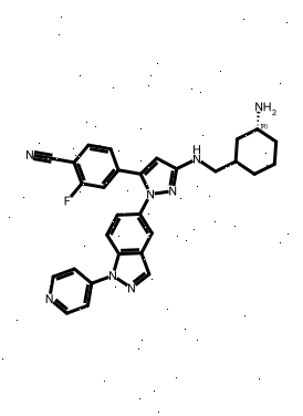 N#Cc1ccc(-c2cc(NCC3CCC[C@@H](N)C3)nn2-c2ccc3c(cnn3-c3ccncc3)c2)cc1F